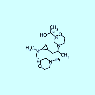 CC(C)N1CCO[C@H](CN(C)C2CC2CC(C)N2CCO[C@@H]([C@H](C)O)C2)C1